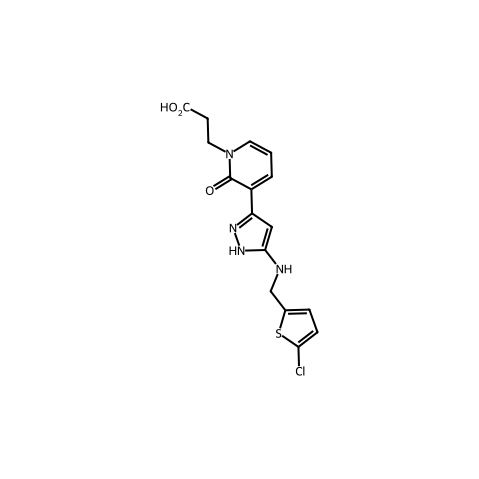 O=C(O)CCn1cccc(-c2cc(NCc3ccc(Cl)s3)[nH]n2)c1=O